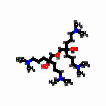 CN(C)CCCC(O)(CCCN(C)C)COCC(O)(CCCN(C)C)CCCN(C)C